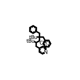 C[C](C(Cc1ccncc1)C(C)(C)C)C(Cc1ccccc1)(Cc1ccccc1)C(C)(C)C